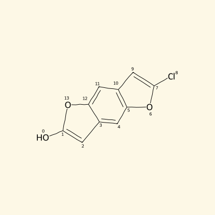 Oc1cc2cc3oc(Cl)cc3cc2o1